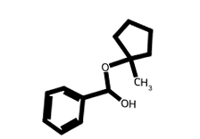 CC1(OC(O)c2ccccc2)CCCC1